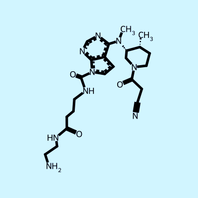 C[C@@H]1CCN(C(=O)CC#N)C[C@@H]1N(C)c1ncnc2c1ccn2C(=O)NCCCC(=O)NCCN